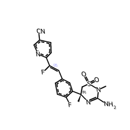 CN1C(N)=N[C@](C)(c2cc(/C=C(\F)c3ccc(C#N)cn3)ccc2F)CS1(=O)=O